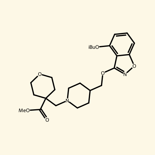 COC(=O)C1(CN2CCC(COc3noc4cccc(OCC(C)C)c34)CC2)CCOCC1